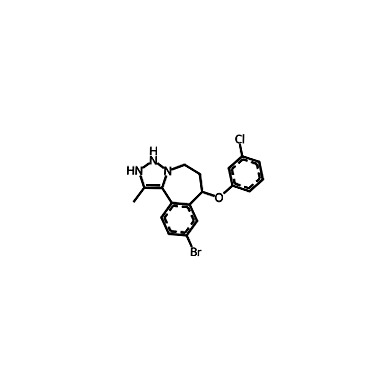 CC1=C2c3ccc(Br)cc3C(Oc3cccc(Cl)c3)CCN2NN1